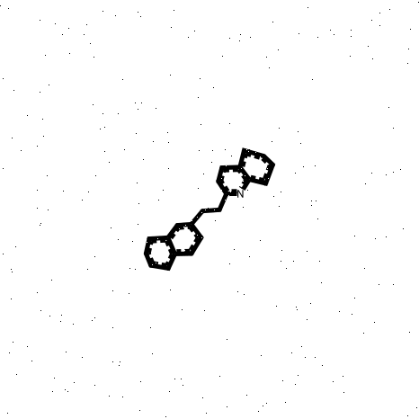 c1ccc2cc(CCc3ccc4ccccc4n3)ccc2c1